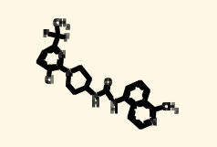 Cc1nccc2c(NC(=O)NC3CCN(c4nc(C(C)(F)F)ccc4Cl)CC3)cccc12